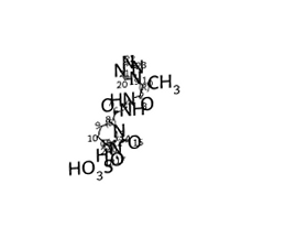 C[C@H](C(=O)NNC(=O)[C@@H]1CC[C@@H]2CN1C(=O)N2OS(=O)(=O)O)n1cnnn1